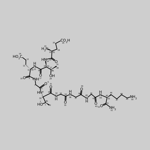 C[C@@H](O)[C@H](NC(=O)CNC(=O)[C@H](CCC(=O)O)NC(=O)[C@@H](NC(=O)[C@@H](N)CCC(=O)O)[C@@H](C)O)C(=O)NCC(=O)NCC(=O)NCC(=O)N[C@@H](CCCCN)C(N)=O